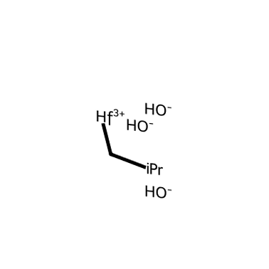 CC(C)[CH2][Hf+3].[OH-].[OH-].[OH-]